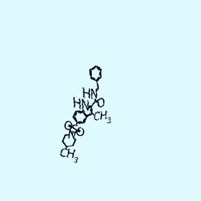 Cc1c(C(=O)NCc2ccccc2)[nH]c2ccc(S(=O)(=O)N3CCC(C)CC3)cc12